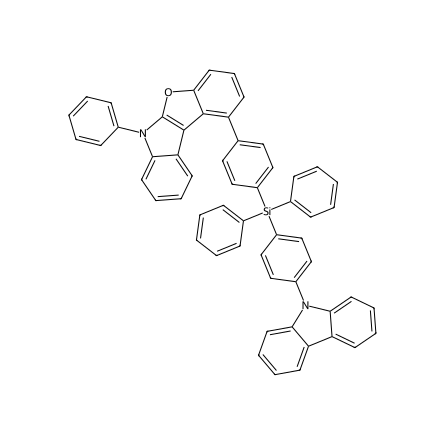 c1ccc(-n2c3ccccc3c3c4c(-c5ccc([Si](c6ccccc6)(c6ccccc6)c6ccc(-n7c8ccccc8c8ccccc87)cc6)cc5)cccc4oc32)cc1